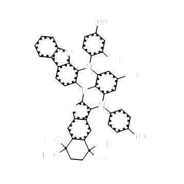 Cc1cc2c3c(c1)N(c1ccc(C(C)(C)C)cc1C)c1c(ccc4c1oc1ccccc14)B3c1oc3cc4c(cc3c1N2c1ccc(C(C)(C)C)cc1)C(C)(C)CCC4(C)C